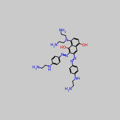 NCCNc1ccc(N=Nc2cc3c(O)ccc(N(CCN)CCN)c3c(O)c2N=Nc2ccc(NCCN)cc2)cc1